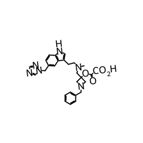 CN(CCc1c[nH]c2ccc(Cn3cncn3)cc12)CC1(OC(=O)C(=O)O)CN(Cc2ccccc2)C1